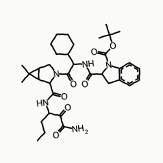 CCCC(NC(=O)C1C2C(CN1C(=O)C(NC(=O)C1Cc3ccccc3N1C(=O)OC(C)(C)C)C1CCCCC1)C2(C)C)C(=O)C(N)=O